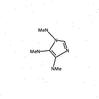 CNc1ncn(NC)c1NC